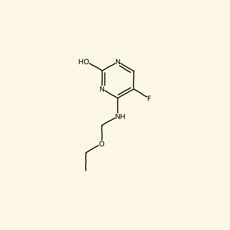 CCOCNc1nc(O)ncc1F